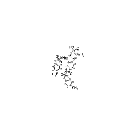 Cc1ccc(CS(=O)(=O)NC(=O)C2CCN(c3nc(C)c(C(=O)O)cc3C#N)CC2)cc1.Cc1ccc(CS(N)(=O)=O)cc1